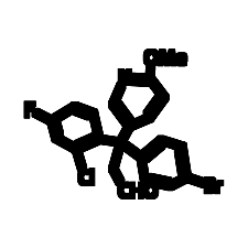 COc1ccc(C(CC=O)(c2ccc(Br)cc2)c2ccc(F)cc2Cl)cn1